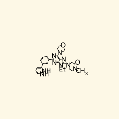 CCn1c(N2CCN(C)C(=O)C2)nc2c(N3CCOCC3)nc(-c3cccc(C4=CC=CNN4)c3)nc21